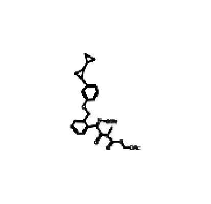 CON=C(C(=O)N(C)C(=O)OCOC(C)=O)c1ccccc1COc1cccc(C2CC2C2CC2)c1